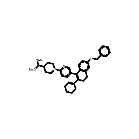 COC(OC)C1CCN(c2ccc(C3=C(C4=CCCCC4)CCc4cc(OCc5ccccc5)ccc43)cn2)CC1